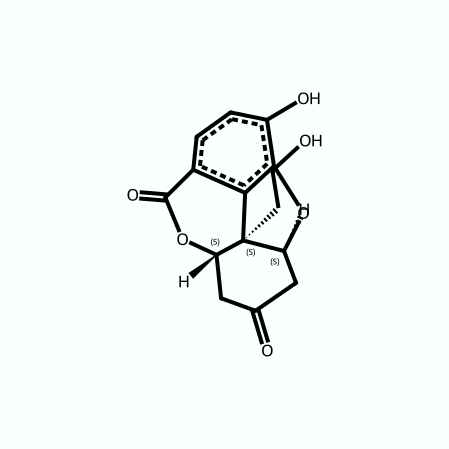 O=C1C[C@@H]2OC(=O)c3ccc(O)c4c3[C@@]2(CCO)[C@H](C1)O4